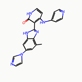 Cc1cc(-n2ccnc2)cc2[nH]c(-c3c(Nc4ccncc4)cc[nH]c3=O)nc12